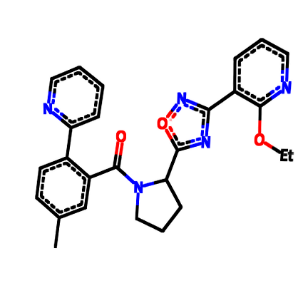 CCOc1ncccc1-c1noc(C2CCCN2C(=O)c2cc(C)ccc2-c2ccccn2)n1